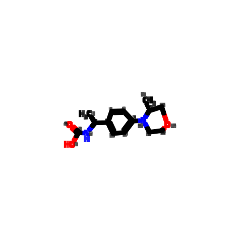 CC(NC(=O)O)c1ccc(N2CCOC[C@@H]2C)cc1